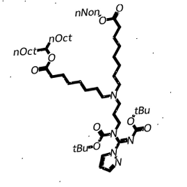 CCCCCCCCCOC(=O)CCCCCCCN(CCCCCCCC(=O)OC(CCCCCCCC)CCCCCCCC)CCCN(C(=O)OC(C)(C)C)C(=NC(=O)OC(C)(C)C)n1cccn1